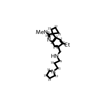 CCc1cc2c(cc1CNCCCN1CCCC1)N=C(NC)C21CCC1